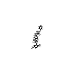 O=C(NCc1ccncc1)Nc1ccc(S(=O)(=O)NCc2cc(Cl)ccc2Cl)cc1